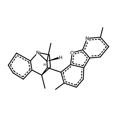 Cc1ccc2c(n1)oc1c(C3[C@@H](C)N4CCC3(C)c3ccccc34)c(C)ccc12